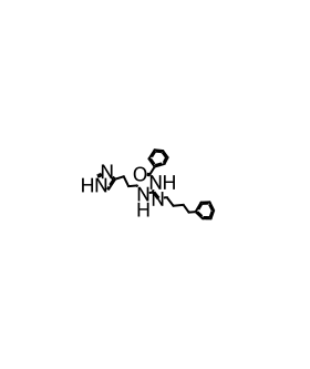 O=C(NC(=NCCCCc1ccccc1)NCCCc1c[nH]cn1)c1ccccc1